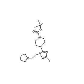 CC(C)(C)OC(=O)N1CCC(c2nc(I)cn2CCN2CCCC2)CC1